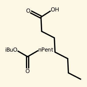 CCCCCC(=O)OCC(C)C.CCCCCCC(=O)O